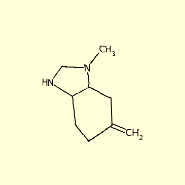 C=C1CCC2NCN(C)C2C1